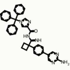 N=C(NC(=O)c1cn(C(c2ccccc2)(c2ccccc2)c2ccccc2)cn1)C1(c2ccc(-c3cnc(N)nc3)cc2)CCC1